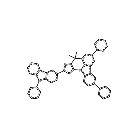 CC1(C)c2sc(-c3ccc4c(c3)c3ccccc3n4-c3ccccc3)cc2-n2c3ccc(-c4ccccc4)cc3c3cc(-c4ccccc4)cc1c32